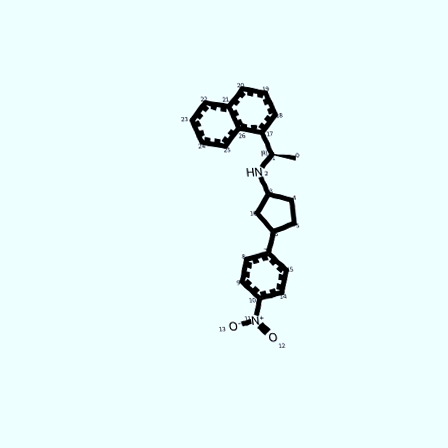 C[C@@H](NC1CCC(c2ccc([N+](=O)[O-])cc2)C1)c1cccc2ccccc12